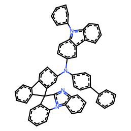 c1ccc(-c2ccc(N(c3ccc4c(c3)C3(c5ccccc5-4)c4ccccc4-n4c3nc3ccccc34)c3ccc4c(c3)c3ccccc3n4-c3ccccc3)cc2)cc1